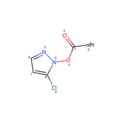 CCCC(=O)On1nccc1Cl